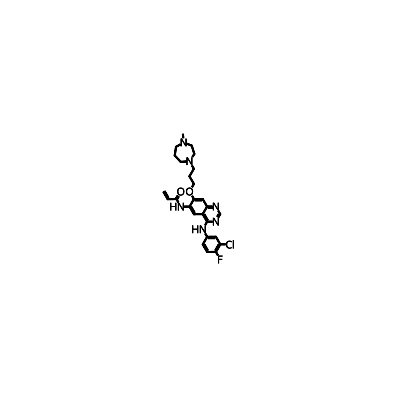 C=CC(=O)Nc1cc2c(Nc3ccc(F)c(Cl)c3)ncnc2cc1OCCCN1CCCN(C)CC1